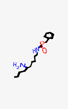 CCCCC(N)CCCCCNC(=O)OCc1ccccc1